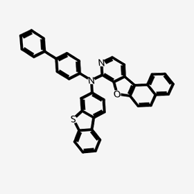 c1ccc(-c2ccc(N(c3ccc4c(c3)sc3ccccc34)c3nccc4c3oc3ccc5ccccc5c34)cc2)cc1